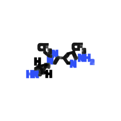 Nc1ncc(-c2cn([C@@H]3[C@@H]4CNC[C@@H]43)c(CC(F)(F)F)n2)cc1C(F)(F)F